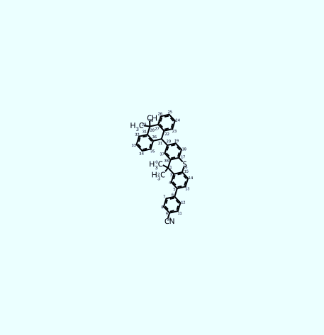 CC1(C)c2cc(-c3ccc(C#N)cc3)ccc2Sc2ccc(C3c4ccccc4C(C)(C)c4ccccc43)cc21